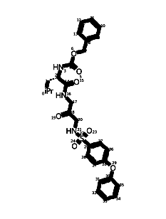 CC(C)C[C@H](NC(=O)OCc1ccccc1)C(=O)NCC(=O)CNS(=O)(=O)c1ccc(Oc2ccccc2)cc1